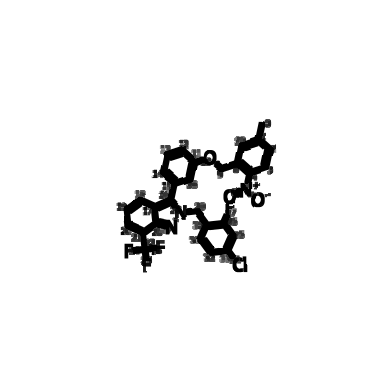 Cc1ccc([N+](=O)[O-])c(COc2cccc(-c3c4cccc(C(F)(F)F)c4nn3Cc3ccc(Cl)cc3F)c2)c1